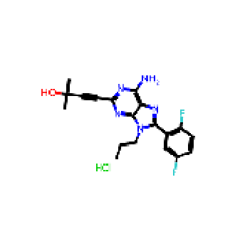 CCCn1c(-c2cc(F)ccc2F)nc2c(N)nc(C#CC(C)(C)O)nc21.Cl